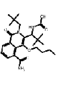 CCCCOc1c(C(NC(=O)O)C(C)(C)C)n(CC(C)(C)C)c(=O)c2cccc(C(N)=O)c12